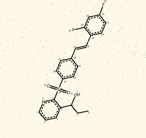 CCC(O)c1cccnc1S(=O)(=O)c1ccc(C=Cc2ccc(F)cc2F)cc1